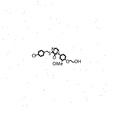 COc1cc(-n2ccnc(SCc3ccc(Cl)cc3)c2=O)ccc1OCCO